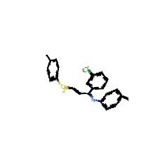 Cc1ccc(N=C(C=CSc2ccc(C)cc2)c2cccc(Cl)c2)cc1